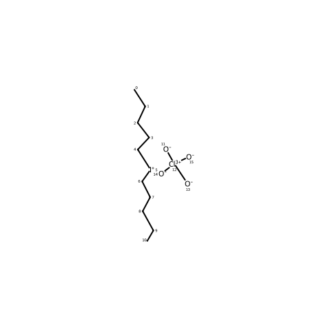 CCCCC[I+]CCCCC.[O-][Cl+3]([O-])([O-])[O-]